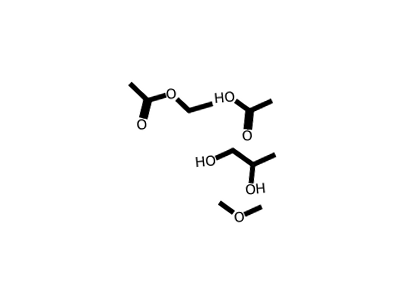 CC(=O)O.CC(O)CO.CCOC(C)=O.COC